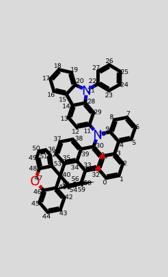 c1ccc(-c2ccccc2N(c2ccc3c4ccccc4n(-c4ccccc4)c3c2)c2ccc3c4c(cccc24)C2(c4ccccc4Oc4ccccc42)c2ccccc2-3)cc1